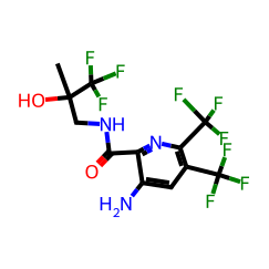 CC(O)(CNC(=O)c1nc(C(F)(F)F)c(C(F)(F)F)cc1N)C(F)(F)F